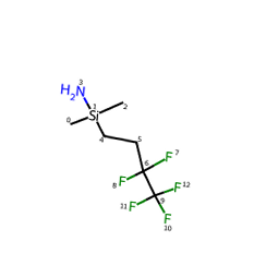 C[Si](C)(N)CCC(F)(F)C(F)(F)F